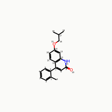 Cc1ccccc1-c1cc(=O)[nH]c2cc(OCC(C)C)ccc12